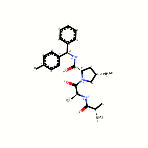 CN[C@@H](C)C(=O)N[C@H](C(=O)N1C[C@@H](NC(C)=O)C[C@H]1C(=O)N[C@H](c1ccccc1)c1ccc(C)cc1)C(C)(C)C